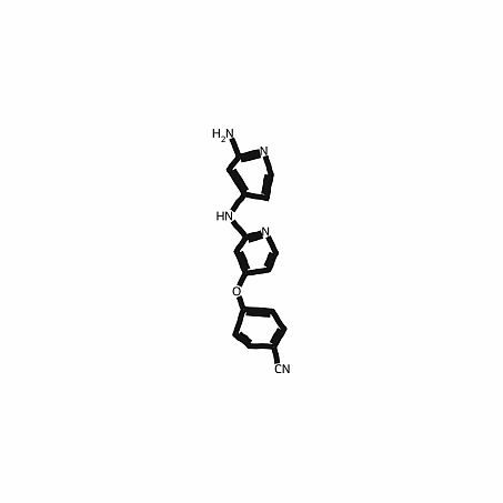 N#Cc1ccc(Oc2ccnc(Nc3ccnc(N)c3)c2)cc1